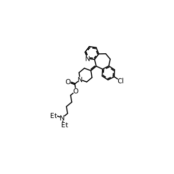 CCN(CC)CCCCOC(=O)N1CCC(=C2c3ccc(Cl)cc3CCc3cccnc32)CC1